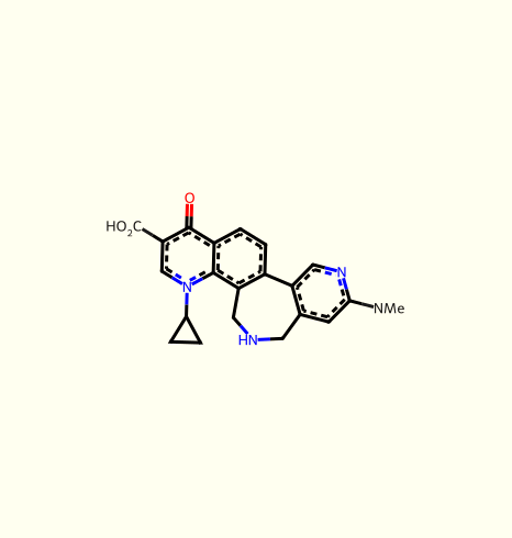 CNc1cc2c(cn1)-c1ccc3c(=O)c(C(=O)O)cn(C4CC4)c3c1CNC2